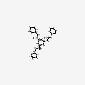 c1ccc(CNCc2cc(NCc3ccccc3)cc(NCc3ccccc3)c2)cc1